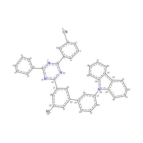 N#Cc1cccc(-c2nc(-c3ccccc3)nc(-c3cc(C#N)cc(-c4cccc(-n5c6ccccc6c6ccccc65)c4)c3)n2)c1